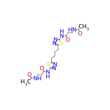 CC(=O)NCCC(=O)Nc1nnc(CCCCc2nnc(NC(=O)CCNC(C)=O)s2)s1